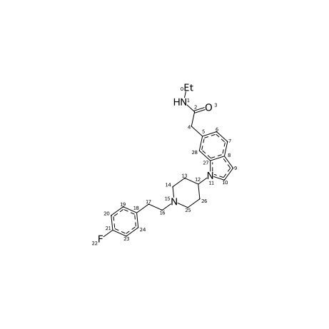 CCNC(=O)Cc1ccc2ccn(C3CCN(CCc4ccc(F)cc4)CC3)c2c1